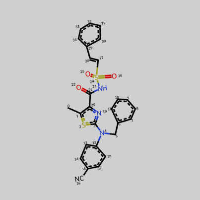 Cc1sc(N(Cc2ccccc2)c2ccc(C#N)cc2)nc1C(=O)NS(=O)(=O)/C=C/c1ccccc1